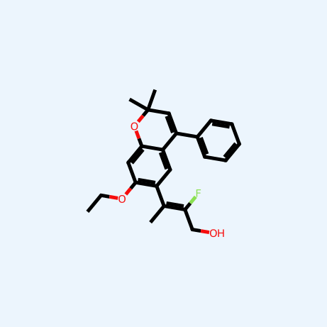 CCOc1cc2c(cc1C(C)=C(F)CO)C(c1ccccc1)=CC(C)(C)O2